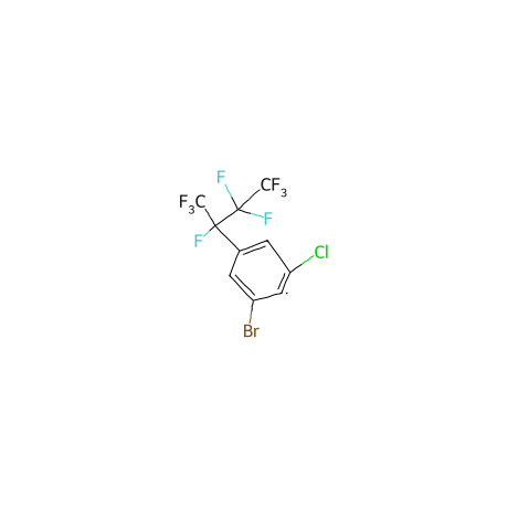 FC(F)(F)C(F)(F)C(F)(c1cc(Cl)[c]c(Br)c1)C(F)(F)F